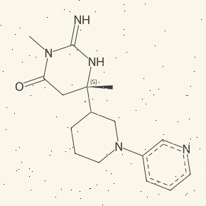 CN1C(=N)N[C@](C)(C2CCCN(c3cccnc3)C2)CC1=O